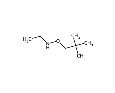 [CH2]CNOCC(C)(C)C